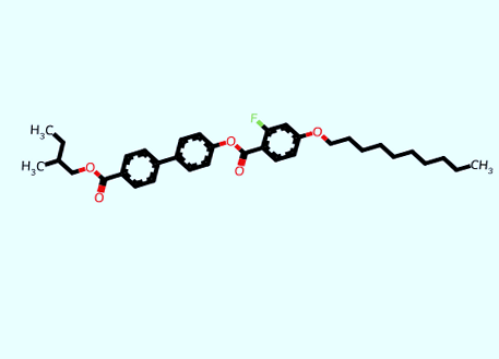 CCCCCCCCCCOc1ccc(C(=O)Oc2ccc(-c3ccc(C(=O)OCC(C)CC)cc3)cc2)c(F)c1